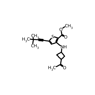 COC(=O)c1sc(C#CC(C)(C)C)cc1NC1CC(C(C)=O)C1